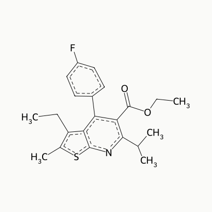 CCOC(=O)c1c(C(C)C)nc2sc(C)c(CC)c2c1-c1ccc(F)cc1